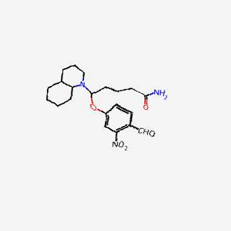 NC(=O)CCCC(Oc1ccc(C=O)c([N+](=O)[O-])c1)N1CCCC2CCCCC21